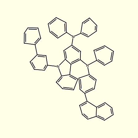 c1ccc(-c2cccc(-n3c4ccccc4c4c(N(c5ccccc5)c5ccc(-c6cccc7ccccc67)cc5)cc(N(c5ccccc5)c5ccccc5)cc43)c2)cc1